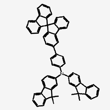 CC1(C)c2ccccc2-c2ccc(N(c3ccc(-c4ccc5c(c4)-c4ccccc4C54c5ccccc5-c5ccccc54)cc3)c3ccc4c(c3)C(C)(C)c3ccccc3-4)cc21